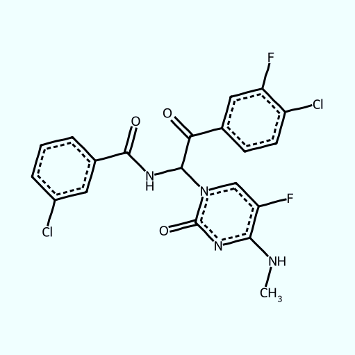 CNc1nc(=O)n(C(NC(=O)c2cccc(Cl)c2)C(=O)c2ccc(Cl)c(F)c2)cc1F